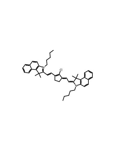 CCCCCN1/C(=C/C=C2\CCC(/C=C/C3=[N+](CCCCC)c4ccc5ccccc5c4C3(C)C)=C2Cl)C(C)(C)c2c1ccc1ccccc21